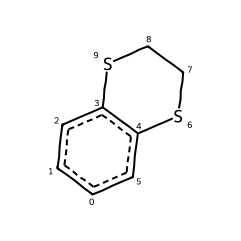 c1ccc2c(c1)SCCS2